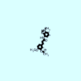 COc1ccc(C=CC(=O)Nc2cccc3c2nnn3C)cc1OC(C)=O